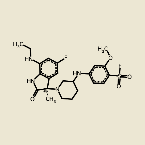 CCNc1cc(F)cc2c1NC(=O)[C@]2(C)N1CCCC(Nc2ccc(S(=O)(=O)F)c(OC)c2)C1